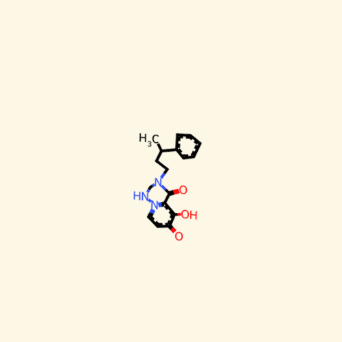 CC(CCN1CNn2ccc(=O)c(O)c2C1=O)c1ccccc1